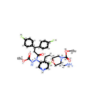 CC(C)(C)OC(=O)NN(C(=O)CC(c1ccc(F)cc1)c1ccc(F)cc1)c1cncc(F)c1CC[C@@H]1CN(C(=O)OC(C)(C)C)[C@H](CN)CO1